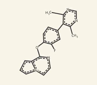 Cc1ncnc(C)c1-c1ccc(Oc2nccn3cccc23)c(F)c1